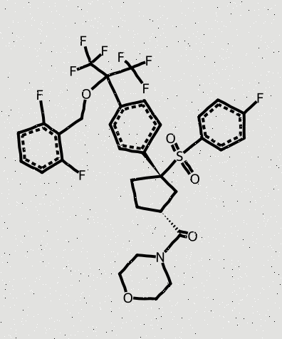 O=C([C@@H]1CC[C@](c2ccc(C(OCc3c(F)cccc3F)(C(F)(F)F)C(F)(F)F)cc2)(S(=O)(=O)c2ccc(F)cc2)C1)N1CCOCC1